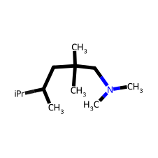 CC(C)C(C)CC(C)(C)CN(C)C